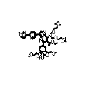 C=C(OCC)c1c([C@@H]2CC[C@](OCCOC)(C(=O)O)C(CCOC)C2)nc2c(-c3ccc(-c4ccn(C)n4)nc3)cnn2c1N(COCC[Si](C)(C)C)COCC[Si](C)(C)C